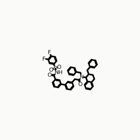 O=C(NS(=O)(=O)c1ccc(F)c(F)c1)c1cccc(-c2cccc(CC(=O)N(Cc3ccccc3)C3c4ccccc4CCC3Cc3ccccc3)c2)c1